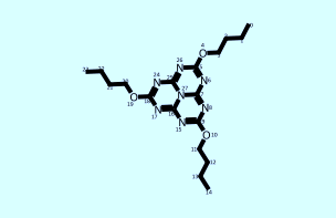 CCCCOC1=NC2=NC(OCCCC)=NC3=NC(OCCCC)=NC(=N1)N23